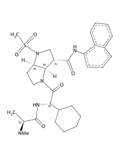 CN[C@@H](C)C(=O)N[C@H](C(=O)N1CC[C@@H]2[C@H]1[C@@H](C(=O)Nc1cccc3ccccc13)CN2S(C)(=O)=O)C1CCCCC1